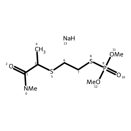 CNC(=O)C(C)SCCSP(=O)(OC)OC.[NaH]